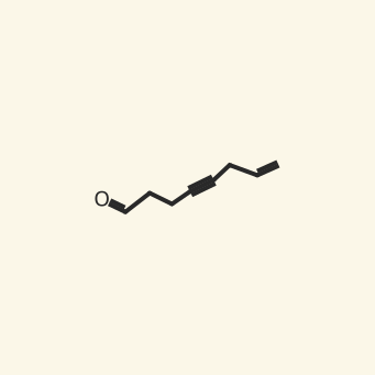 C=CCC#CCCC=O